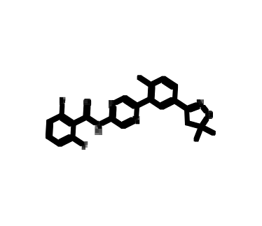 Cc1ccc(C2=NOC(C)(C)C2)cc1-c1cnc(NC(=O)c2c(F)cccc2F)cn1